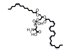 CC/C=C\C/C=C\C/C=C\C/C=C\C/C=C\C/C=C\CCC(=O)O[C@H](COC(=O)CCCCCCC/C=C\CCCC)COP(=O)(O)OC[C@H](N)C(=O)O